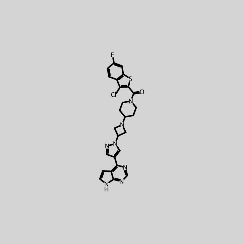 O=C(c1sc2cc(F)ccc2c1Cl)N1CCC(N2C[C](n3cc(-c4ncnc5[nH]ccc45)cn3)C2)CC1